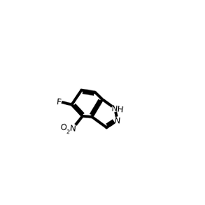 O=[N+]([O-])c1c(F)ccc2[nH]ncc12